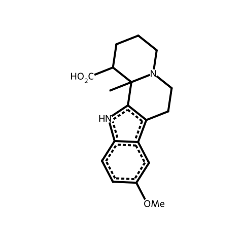 COc1ccc2[nH]c3c(c2c1)CCN1CCCC(C(=O)O)C31C